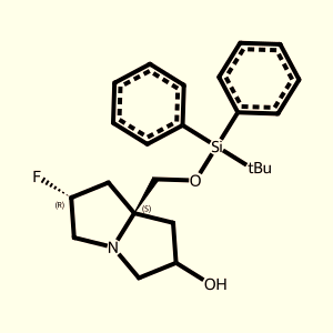 CC(C)(C)[Si](OC[C@@]12CC(O)CN1C[C@H](F)C2)(c1ccccc1)c1ccccc1